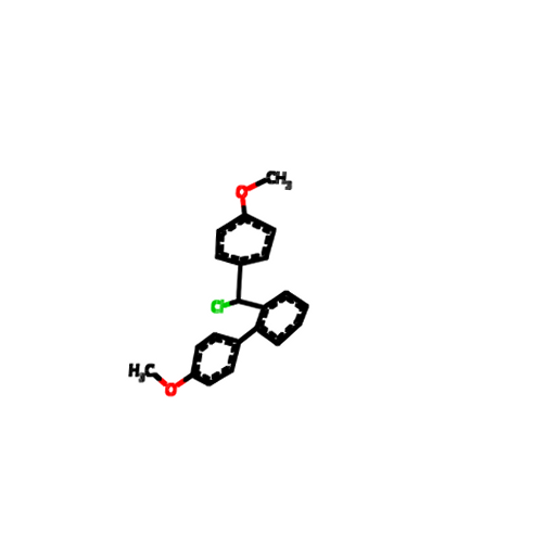 COc1ccc(-c2ccccc2C(Cl)c2ccc(OC)cc2)cc1